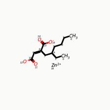 CCCCC(CC)C/C(=C\C(=O)[O-])C(=O)[O-].[Zn+2]